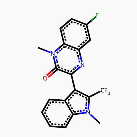 Cn1c(C(F)(F)F)c(-c2nc3cc(F)ccc3n(C)c2=O)c2ccccc21